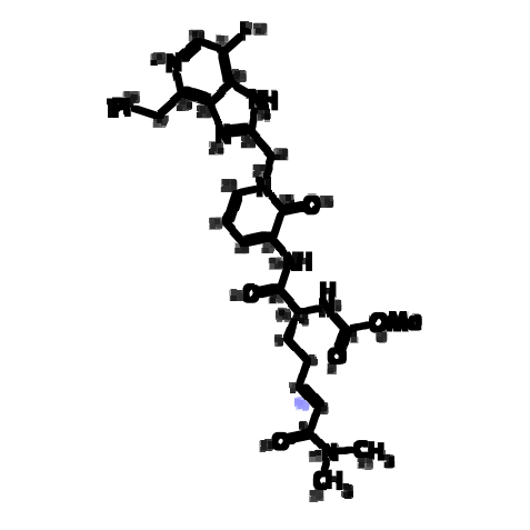 COC(=O)N[C@@H](CC/C=C/C(=O)N(C)C)C(=O)Nc1cccn(Cc2nc3c(CC(C)C)ncc(F)c3[nH]2)c1=O